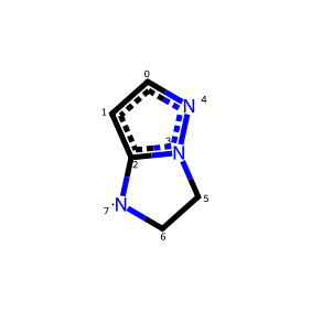 c1cc2n(n1)CC[N]2